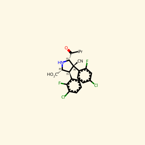 CC(C)C(=O)[C@H]1N[C@@H](C(=O)O)[C@H](c2cccc(Cl)c2F)[C@@]1(C#N)c1ccc(Cl)cc1F